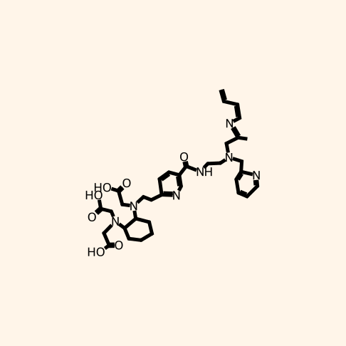 C=C/C=C\N=C(/C)CN(CCNC(=O)c1ccc(CCN(CC(=O)O)C2CCCCC2N(CC(=O)O)CC(=O)O)nc1)Cc1ccccn1